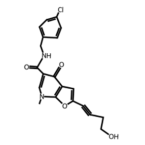 Cn1cc(C(=O)NCc2ccc(Cl)cc2)c(=O)c2cc(C#CCCO)oc21